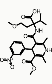 COCCC(NC(=O)C1=C(C)NC(C)=C(C(=O)OC)C1c1cccc([N+](=O)[O-])c1)(C(=O)O)C(C)C